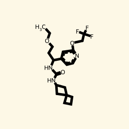 CCOCCC(NC(=O)NC1CC2(CCC2)C1)c1ccnc(OCC(F)(F)F)c1